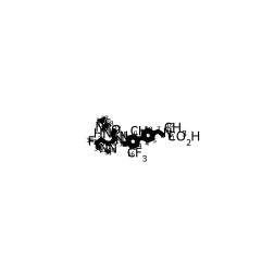 Cc1c(-c2ccc(CCN(C)C(=O)O)cc2)cc(C(F)(F)F)c2cn(C(C(=O)Nc3nccs3)c3ncn4c3CC(F)C4)nc12